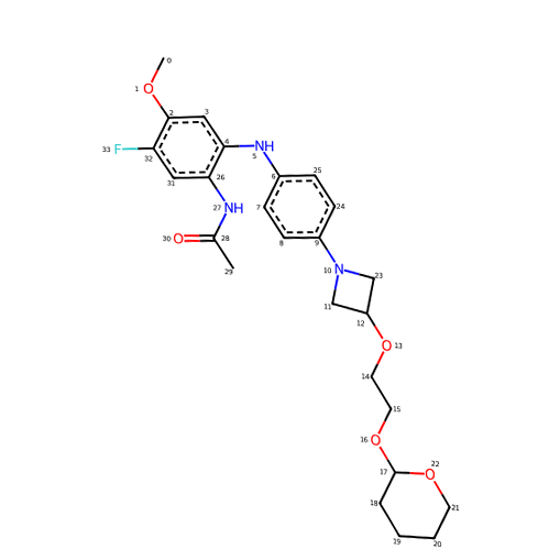 COc1cc(Nc2ccc(N3CC(OCCOC4CCCCO4)C3)cc2)c(NC(C)=O)cc1F